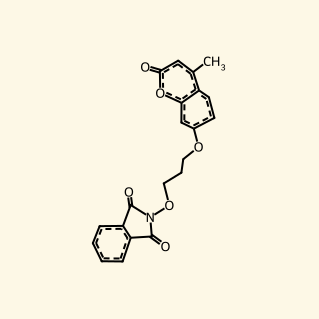 Cc1cc(=O)oc2cc(OCCCON3C(=O)c4ccccc4C3=O)ccc12